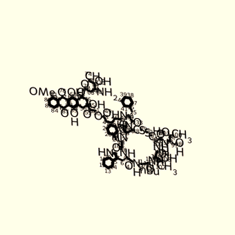 CCCC[C@@H]1NC(=O)[C@@H](Cc2c[nH]c3ccccc23)NC(=O)[C@H](Cc2ccccc2)NC(=O)[C@@H](NC(=O)[C@@H](Cc2ccccc2)NC(=O)CCCC(=O)OCC(=O)[C@]2(O)Cc3c(O)c4c(c(O)c3[C@@H](O[C@H]3C[C@H](N)[C@H](O)[C@H](C)O3)C2)C(=O)c2c(OC)cccc2C4=O)CSSC[C@@H](C(=O)N[C@H](CO)[C@@H](C)O)NC(=O)[C@H]([C@@H](C)O)NC1=O